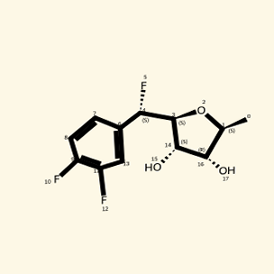 C[C@@H]1O[C@H]([C@@H](F)c2ccc(F)c(F)c2)[C@@H](O)[C@H]1O